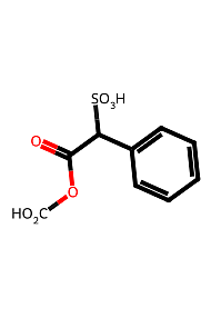 O=C(O)OC(=O)C(c1ccccc1)S(=O)(=O)O